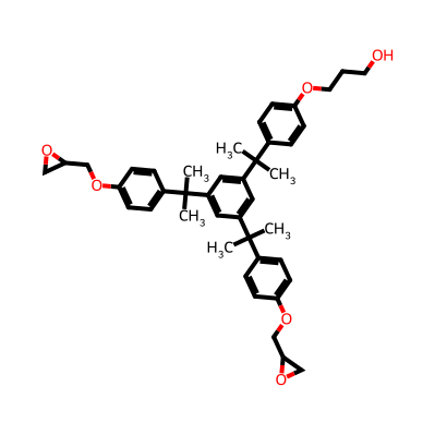 CC(C)(c1ccc(OCCCO)cc1)c1cc(C(C)(C)c2ccc(OCC3CO3)cc2)cc(C(C)(C)c2ccc(OCC3CO3)cc2)c1